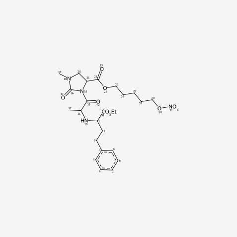 CCOC(=O)C(CCc1ccccc1)NC(C)C(=O)N1C(=O)N(C)CC1C(=O)OCCCCCO[N+](=O)[O-]